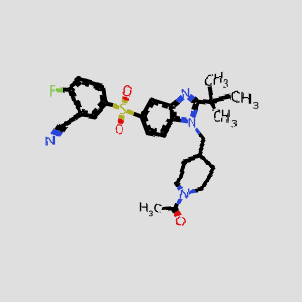 CC(=O)N1CCC(Cn2c(C(C)(C)C)nc3cc(S(=O)(=O)c4ccc(F)c(C#N)c4)ccc32)CC1